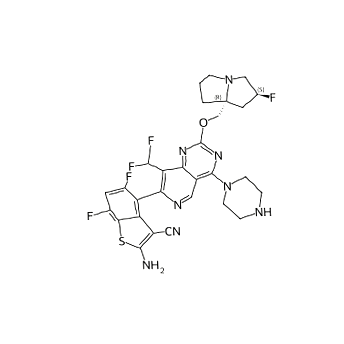 N#Cc1c(N)sc2c(F)cc(F)c(-c3ncc4c(N5CCNCC5)nc(OC[C@]56CCCN5C[C@@H](F)C6)nc4c3C(F)F)c12